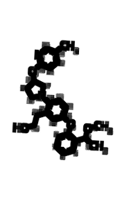 COC(C)c1ccccc1Oc1ccc(N2CCC(Oc3ccc(C)cn3)C2)c(CCO)c1